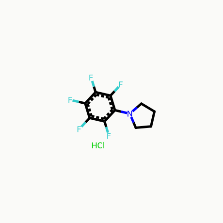 Cl.Fc1c(F)c(F)c(N2CCCC2)c(F)c1F